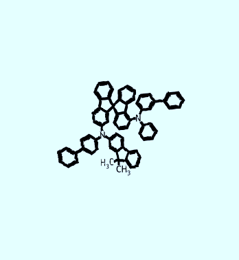 CC1(C)c2ccccc2-c2ccc(N(c3ccc(-c4ccccc4)cc3)c3ccc4c(c3)C3(c5ccccc5-4)c4ccccc4-c4c(N(c5ccccc5)c5cccc(-c6ccccc6)c5)cccc43)cc21